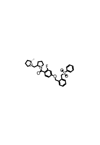 C[C@H]1CCCN1CC1CCCN1C(=O)c1ccc(OCc2ccccc2CS(=O)(=O)c2ccccc2)cc1F